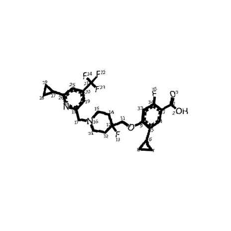 O=C(O)c1cc(C2CC2)c(OCC2(F)CCN(Cc3cc(C(F)(F)F)cc(C4CC4)n3)CC2)cc1F